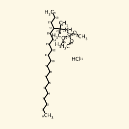 CCCCCCCCCCCCCCCCC(CCC)C(C)(C)N[Si](OC)(OC)OC.Cl